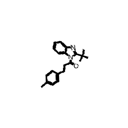 Cc1ccc(CCC(=O)n2c(C(C)(C)C)nc3ccccc32)cc1